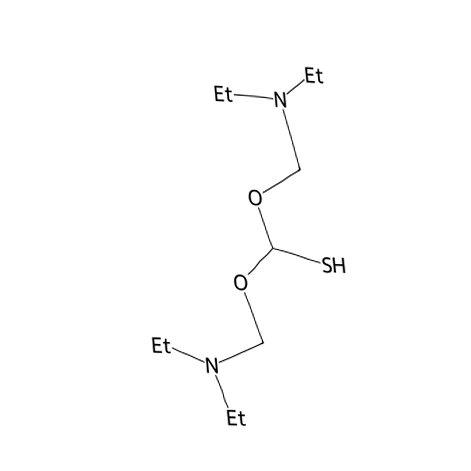 CCN(CC)COC(S)OCN(CC)CC